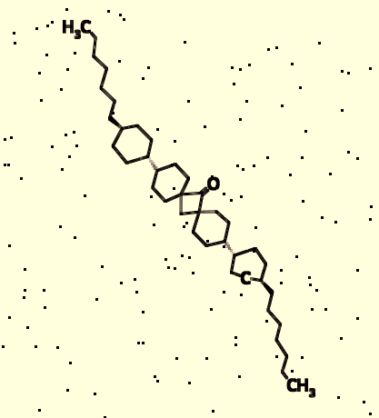 CCCCCCC[C@H]1CC[C@H](C2CCC3(CC2)CC2(CCC([C@H]4CC[C@H](CCCCCCC)CC4)CC2)C3=O)CC1